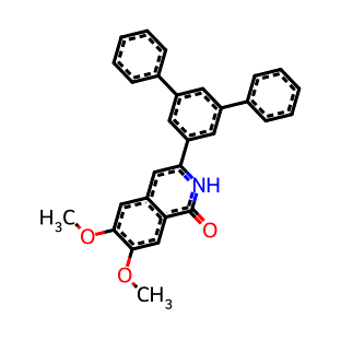 COc1cc2cc(-c3cc(-c4ccccc4)cc(-c4ccccc4)c3)[nH]c(=O)c2cc1OC